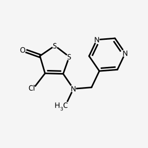 CN(Cc1cncnc1)c1ssc(=O)c1Cl